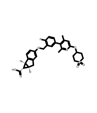 Cc1cc(OC2CCS(=O)(=O)CC2)nc(C)c1-c1ccc(F)c(COc2ccc3c(c2)C[C@H]2[C@H](C(=O)O)[C@@H]32)c1